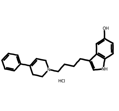 Cl.Oc1ccc2[nH]cc(CCCCN3CC=C(c4ccccc4)CC3)c2c1